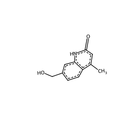 Cc1cc(=O)[nH]c2cc(CO)ccc12